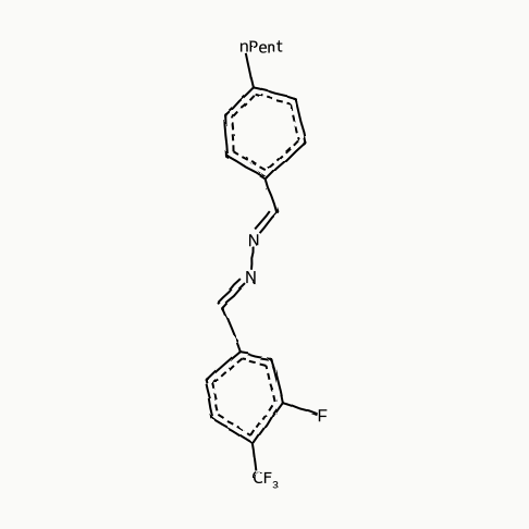 CCCCCc1ccc(C=NN=Cc2ccc(C(F)(F)F)c(F)c2)cc1